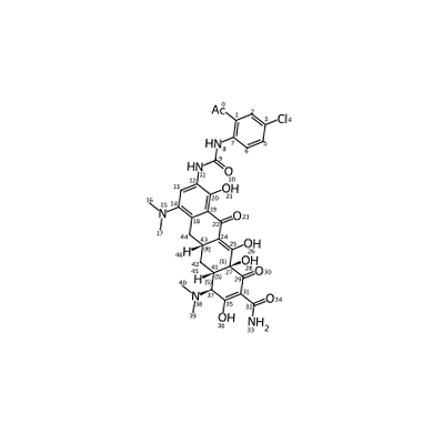 CC(=O)c1cc(Cl)ccc1NC(=O)Nc1cc(N(C)C)c2c(c1O)C(=O)C1=C(O)[C@]3(O)C(=O)C(C(N)=O)=C(O)[C@@H](N(C)C)[C@@H]3C[C@@H]1C2